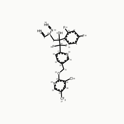 N=CN(CC(O)(c1ccc(F)cc1F)C(F)(F)c1ccc(COc2ncc(C(F)(F)F)cc2Cl)cn1)N=N